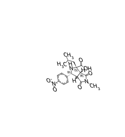 CC(C)C[C@]1(C(=O)O)N[C@@H](c2ccc([N+](=O)[O-])cc2)[C@H]2C(=O)N(C)C(=O)[C@H]21